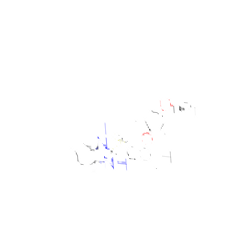 CCCOc1ccc(OCCSC2(CC(=O)O)Nc3ccccc3N2)cc1